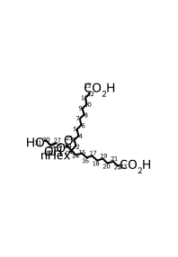 CCCCCCC(CCCCCCCCCCCC(=O)O)(CCCCCCCCCC(=O)O)C(=O)OCC(O)CO